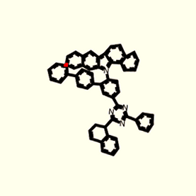 C1=Cc2ccccc2C(c2nc(-c3ccccc3)nc(-c3ccc(-n4c5cc6ccccc6cc5c5ccc6ccccc6c54)c(-c4ccc(-c5ccccc5)cc4)c3)n2)C1